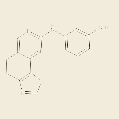 CC(=O)Nc1cccc(Nc2ncc3c(n2)-c2scnc2CC3)c1